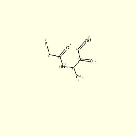 CC(NC(=O)CF)C(=O)C=N